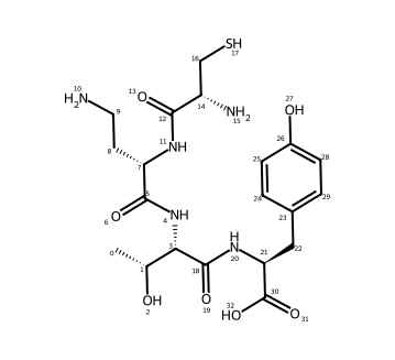 C[C@@H](O)[C@H](NC(=O)[C@H](CCN)NC(=O)[C@@H](N)CS)C(=O)N[C@@H](Cc1ccc(O)cc1)C(=O)O